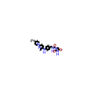 Cc1nc(N2CCC(C(C)C)CC2)ccc1Nc1ccc(CNC(=O)N2CC(=O)NC2=O)cc1